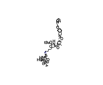 CC1C[C@@H](CC(=O)N2Cc3ccc(OCCn4cccn4)cc3C2)CN1C(=O)[C@H](CCCCC/C=C\[C@@H]1C[C@]1(NCO)C(=O)NS(=O)(=O)C1CC1)NC(=O)OC(C)(C)C